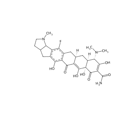 CN1CCC2Cc3c(O)c4c(c(F)c3C21)C[C@H]1C[C@H]2[C@H](N(C)C)C(O)=C(C(N)=O)C(=O)[C@@]2(O)C(O)=C1C4=O